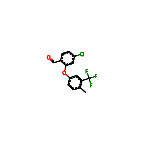 Cc1ccc(Oc2cc(Cl)ccc2C=O)cc1C(F)(F)F